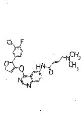 CN(C)C/C=C/C(=O)Nc1ccc2ncnc(OC3=CCOC3c3ccc(F)c(Cl)c3)c2c1